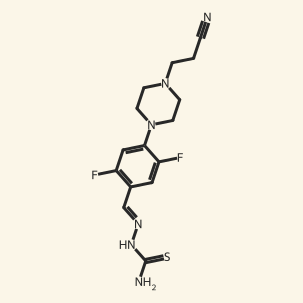 N#CCCN1CCN(c2cc(F)c(/C=N/NC(N)=S)cc2F)CC1